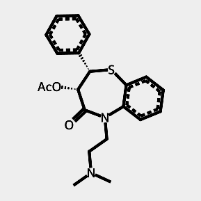 CC(=O)O[C@H]1C(=O)N(CCN(C)C)c2ccccc2S[C@H]1c1ccccc1